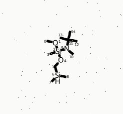 CO[Si](C)(OC[SiH](C)C)N(C)C(C)(C)C